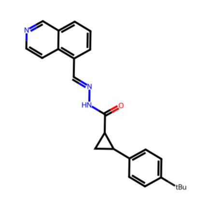 CC(C)(C)c1ccc(C2CC2C(=O)NN=Cc2cccc3cnccc23)cc1